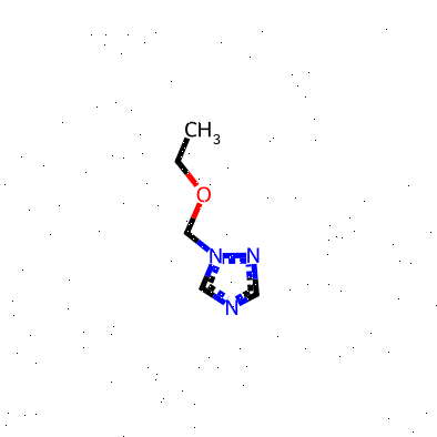 CCOCn1cncn1